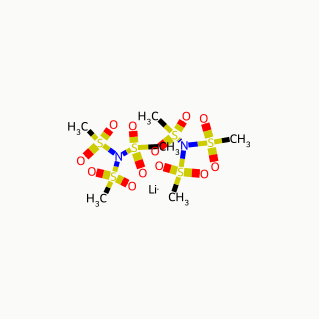 CS(=O)(=O)N(S(C)(=O)=O)S(C)(=O)=O.CS(=O)(=O)N(S(C)(=O)=O)S(C)(=O)=O.[Li]